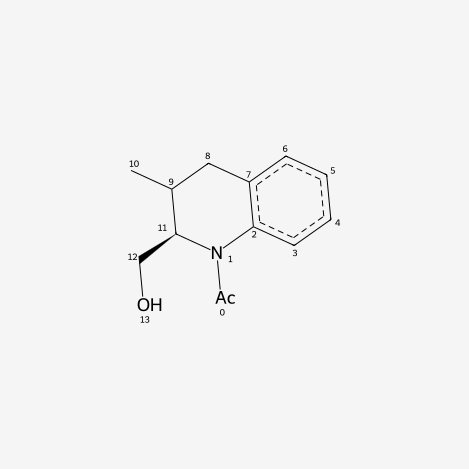 CC(=O)N1c2ccccc2CC(C)[C@@H]1CO